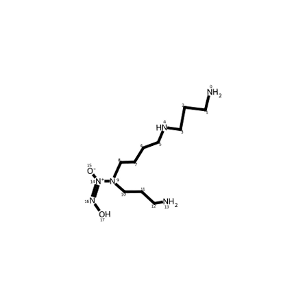 NCCCNCCCCN(CCCN)/[N+]([O-])=N\O